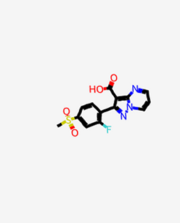 CS(=O)(=O)c1ccc(-c2nn3cccnc3c2C(=O)O)c(F)c1